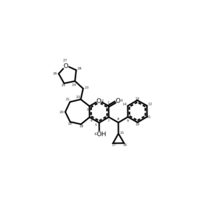 O=c1oc2c(c(O)c1C(c1ccccc1)C1CC1)CCCCC2CC1CCOC1